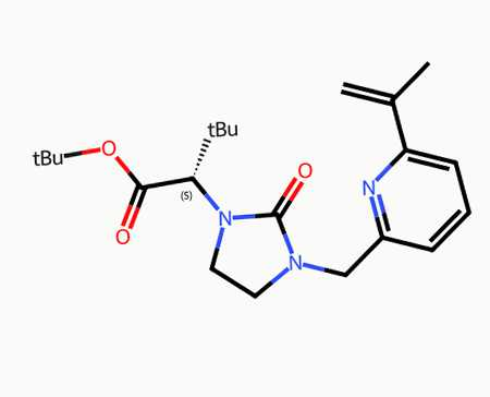 C=C(C)c1cccc(CN2CCN([C@H](C(=O)OC(C)(C)C)C(C)(C)C)C2=O)n1